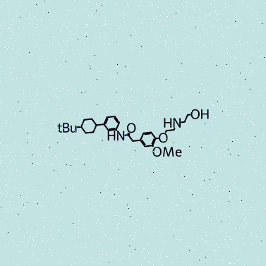 COc1cc(CC(=O)Nc2cccc(C3CCC(C(C)(C)C)CC3)c2)ccc1OCCNCCO